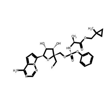 C[C@H](N[P@](=O)(OC[C@@]1(CF)O[C@@H](c2ccc3c(N)ncnn23)[C@H](O)[C@@H]1O)Oc1ccccc1)C(=O)OCC1(C)CC1